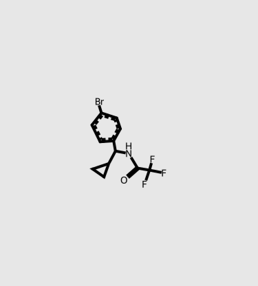 O=C(NC(c1ccc(Br)cc1)C1CC1)C(F)(F)F